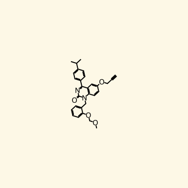 C#CCOc1ccc2c(c1)c(-c1ccc(C(C)C)cc1)nc(=O)n2Cc1ccccc1OCOC